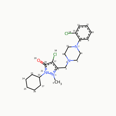 Cn1c(CN2CCN(c3ccccc3Cl)CC2)c(Cl)c(=O)n1C1CCCCC1